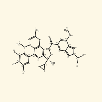 CCOc1c(CC(N)=O)cc([C@@](O)(CNC(=O)c2cc(OC)c3nn(C(F)F)cc3c2)C2CC2)nc1-c1cc(F)c(F)c(Cl)c1